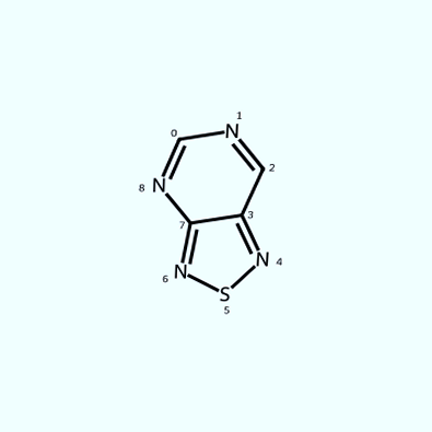 c1ncc2nsnc2n1